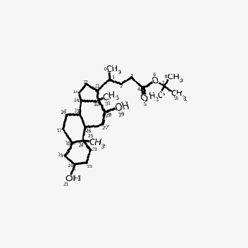 CC(CCC(=O)OC(C)(C)C)C1CCC2C3CCC4CC(O)CCC4(C)C3CC(O)C12C